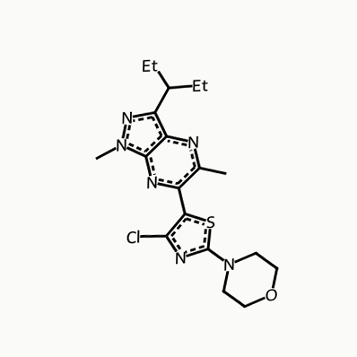 CCC(CC)c1nn(C)c2nc(-c3sc(N4CCOCC4)nc3Cl)c(C)nc12